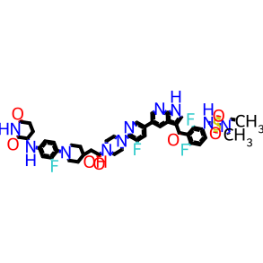 CCN(C)S(=O)(=O)Nc1ccc(F)c(C(=O)c2c[nH]c3ncc(-c4cnc(N5CCN(C(=O)CC6(O)CCN(c7ccc(NC8CCC(=O)NC8=O)cc7F)CC6)CC5)c(F)c4)cc23)c1F